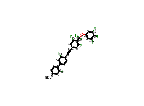 CCCCc1ccc(-c2ccc(C#Cc3cc(F)c(C(F)(F)Oc4cc(F)c(F)c(F)c4)c(F)c3)c(F)c2)c(F)c1